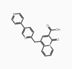 O=C(O)c1cc(Cc2ccc(-c3ccncc3)cn2)c2ccccn2c1=O